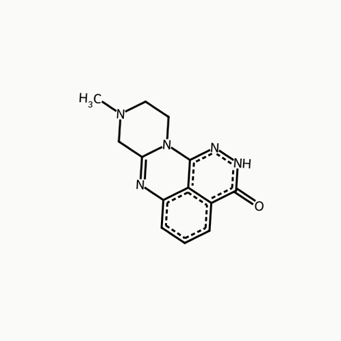 CN1CCN2C(=Nc3cccc4c(=O)[nH]nc2c34)C1